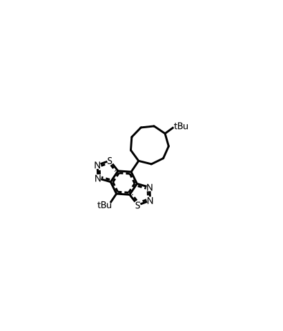 CC(C)(C)c1c2nnsc2c(C2CCCCC(C(C)(C)C)CCC2)c2nnsc12